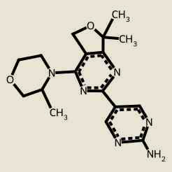 CC1COCCN1c1nc(-c2cnc(N)nc2)nc2c1COC2(C)C